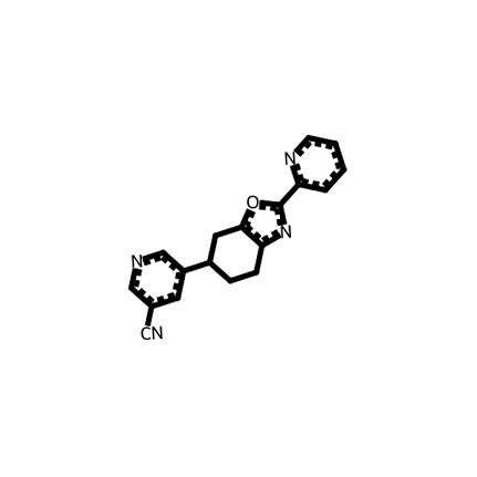 N#Cc1cncc(C2CCc3nc(-c4ccccn4)oc3C2)c1